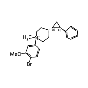 COc1cc([N+]2(C)CCC([C@@H]3C[C@H]3c3ccccc3)CC2)ccc1Br